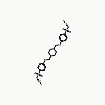 [N-]=[N+]=NS(=O)(=O)c1ccc(OCC2CCC(COc3ccc(S(=O)(=O)N=[N+]=[N-])cc3)CC2)cc1